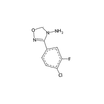 NN1[CH]ON=C1c1ccc(Cl)c(F)c1